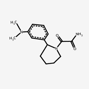 CN(C)c1cccc(C2CCCCN2C(=O)C(N)=O)c1